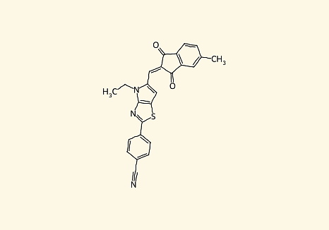 CCn1c(/C=C2/C(=O)c3ccc(C)cc3C2=O)cc2sc(-c3ccc(C#N)cc3)nc21